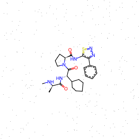 CN[C@H](C)C(=O)N[C@H](C(=O)N1CCC[C@H]1C(=O)Nc1snnc1-c1ccccc1)C1CCCCC1